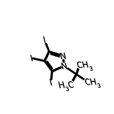 CC(C)(C)n1nc(I)c(I)c1I